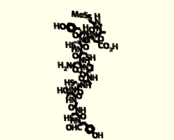 CSSCC1NCN(C(C)C(=O)N[C@@H](CCC(=O)O)C(=O)N[C@@H](Cc2ccc(O)cc2)C(=O)N[C@@H](CS)C(=O)N[C@@H](CS)C(=O)N[C@@H](CC(N)=O)C(=O)N2CCC[C@H]2C(=O)NC(C)C(=O)N[C@@H](CS)C(=O)N[C@H](C(=O)NCC(=O)NC(CS)C(=O)N[C@H](C=O)Cc2ccc(O)cc2)[C@@H](C)O)C1=O